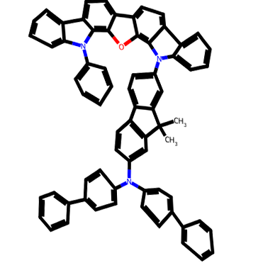 CC1(C)c2cc(N(c3ccc(-c4ccccc4)cc3)c3ccc(-c4ccccc4)cc3)ccc2-c2ccc(-n3c4ccccc4c4ccc5c6ccc7c8ccccc8n(-c8ccccc8)c7c6oc5c43)cc21